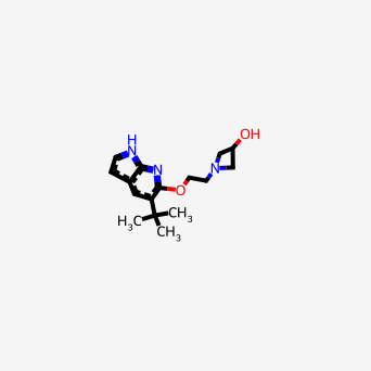 CC(C)(C)c1cc2cc[nH]c2nc1OCCN1CC(O)C1